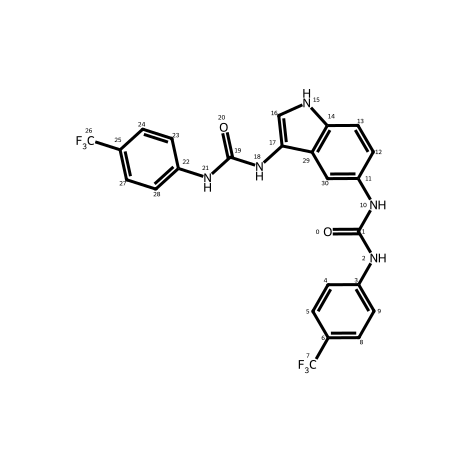 O=C(Nc1ccc(C(F)(F)F)cc1)Nc1ccc2[nH]cc(NC(=O)Nc3ccc(C(F)(F)F)cc3)c2c1